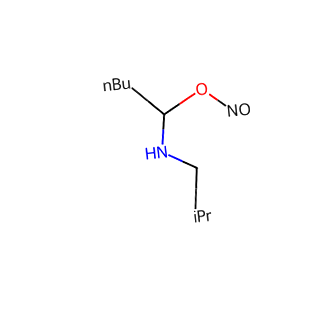 CCCCC(NCC(C)C)ON=O